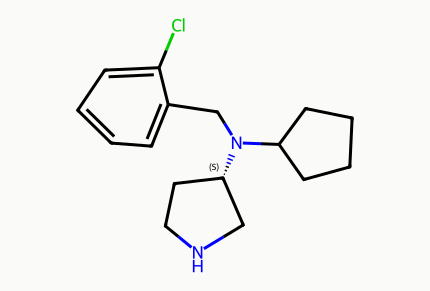 Clc1ccccc1CN(C1CCCC1)[C@H]1CCNC1